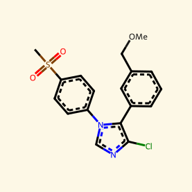 COCc1cccc(-c2c(Cl)ncn2-c2ccc(S(C)(=O)=O)cc2)c1